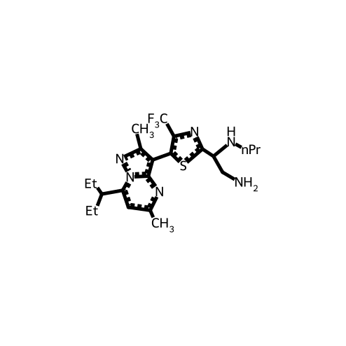 CCCNC(CN)c1nc(C(F)(F)F)c(-c2c(C)nn3c(C(CC)CC)cc(C)nc23)s1